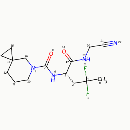 CC(F)(F)C[C@H](NC(=O)N1CCCC2(CC2)C1)C(=O)NCC#N